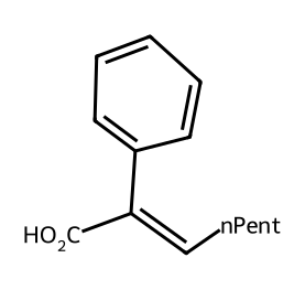 CCCCC/C=C(/C(=O)O)c1ccccc1